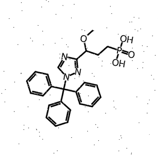 COC(CCP(=O)(O)O)c1ncn(C(c2ccccc2)(c2ccccc2)c2ccccc2)n1